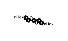 CCCCCCc1ccc2c(ccc3c4cc5oc6c7ccc(CCCCCC)cc7ccc6c5cc4oc23)c1